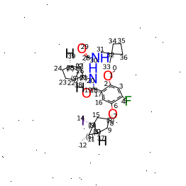 COc1cc(F)c(O[C@@H]2C[C@H]3[C@H](C)[C@@]3(I)C2)cc1C(=O)N[C@@H]1[C@H]2CC[C@H](C2)[C@@H]1C(=O)NCC1(C)CCC1